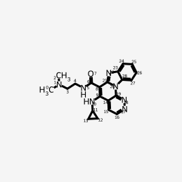 CN(C)CCNC(=O)c1c(NC2CC2)c2ccnnc2n2c1nc1ccccc12